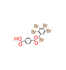 O=C(O)c1ccc(C(=O)OC(Br)c2cc(Br)c(Br)c(Br)c2Br)cc1